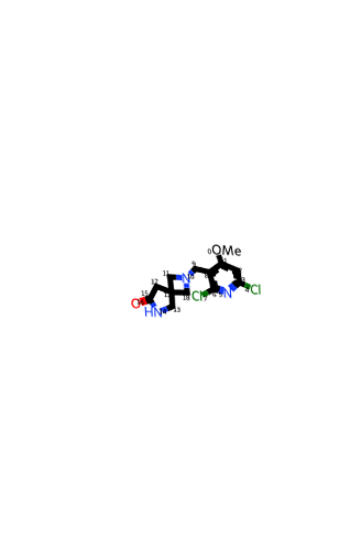 COc1cc(Cl)nc(Cl)c1CN1CC2(CNC(=O)C2)C1